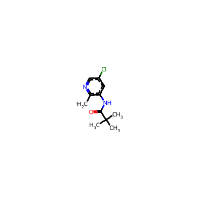 [CH2]c1ncc(Cl)cc1NC(=O)C(C)(C)C